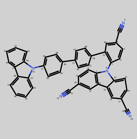 N#Cc1ccc(-n2c3ccc(C#N)cc3c3cc(C#N)ccc32)c(-c2ccc(-c3ccc(-n4c5ccccc5c5ccccc54)cc3)cc2)c1